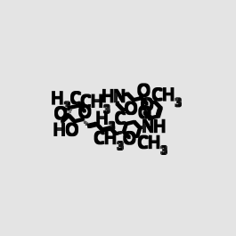 CC(/C=C/[C@H]1OC(C)(C)C[C@@]2(CO2)[C@@H]1O)=C\C[C@@H]1O[C@H](C)[C@H](NC(=O)/C=C\[C@H](C)OC(=O)C2CNCCO2)C[C@@H]1C